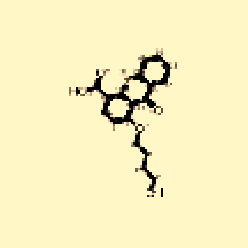 O=C(O)c1ccc(OCCCCO)c2c(=O)c3ccccc3sc12